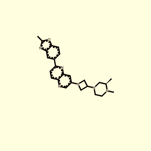 Cc1nc2cc(-c3ccc4ncc(N5CC(N6CCN(C)[C@H](C)C6)C5)cc4n3)ccc2o1